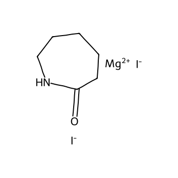 O=C1CCCCCN1.[I-].[I-].[Mg+2]